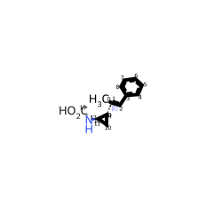 C/C(=C\c1ccccc1)[C@@H]1C[C@H]1NC(=O)O